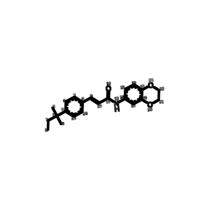 CCC(C)(C)c1ccc(/C=C/C(=O)Nc2ccc3c(c2)OCCO3)cc1